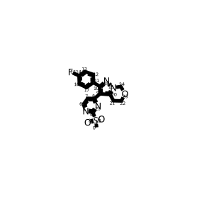 CS(=O)(=O)c1nccc(-c2c(-c3ccc(F)cc3)nn3c2CCOC3)n1